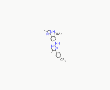 COc1cc(Nc2ncc(C)c(-c3ccc(C(F)(F)F)cc3)n2)ccc1-c1nc(C)c[nH]1